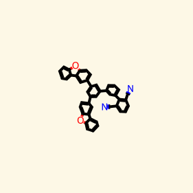 N#Cc1cccc(C#N)c1-c1cccc(-c2cc(-c3ccc4oc5ccccc5c4c3)cc(-c3ccc4oc5ccccc5c4c3)c2)c1